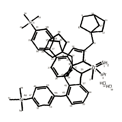 CC[CH2][Zr]([CH3])(=[SiH2])([CH]1C(CC23CCC(CC2)C3)=Cc2c(-c3ccc([Si](C)(C)C)cc3)cccc21)[CH]1C(CC23CCC(CC2)C3)=Cc2c(-c3ccc([Si](C)(C)C)cc3)cccc21.Cl.Cl